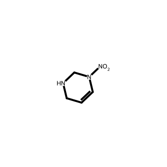 O=[N+]([O-])N1C=CCNC1